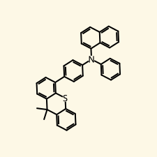 CC1(C)c2ccccc2Sc2c(-c3ccc(N(c4ccccc4)c4cccc5ccccc45)cc3)cccc21